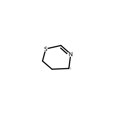 [C]1CCSC=N1